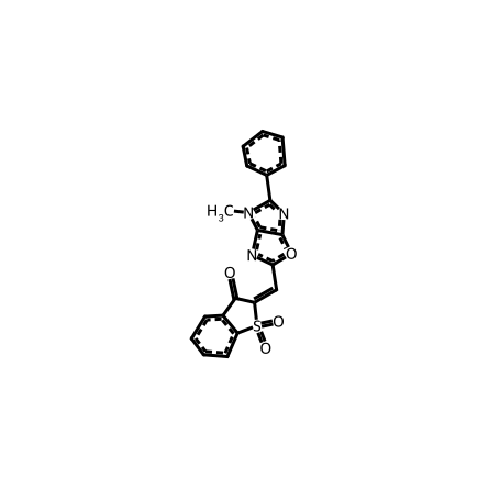 Cn1c(-c2ccccc2)nc2oc(/C=C3\C(=O)c4ccccc4S3(=O)=O)nc21